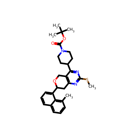 CSc1nc2c(c(C3CCN(C(=O)OC(C)(C)C)CC3)n1)COC(c1cccc3cccc(C)c13)C2